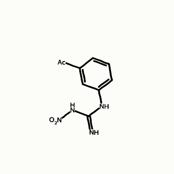 CC(=O)c1cccc(NC(=N)N[N+](=O)[O-])c1